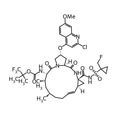 COc1ccc2c(O[C@@H]3C[C@H]4C(=O)N[C@]5(C(=O)NS(=O)(=O)C6(CF)CC6)C[C@H]5/C=C/CC[C@@H](C)C[C@@H](C)[C@H](NC(=O)OC(C)(C)C(F)(F)F)C(=O)N4C3)cc(Cl)nc2c1